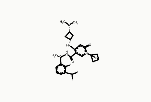 C[C@@H](NC(=O)c1cn(C23CC(C2)C3)c(=O)cc1N[C@H]1C[C@@H](N(C)C)C1)c1cccc(C(F)F)c1F